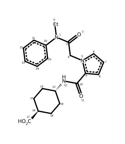 CCN(C(=O)Cn1cccc1C(=O)N[C@H]1CC[C@H](C(=O)O)CC1)c1ccccc1